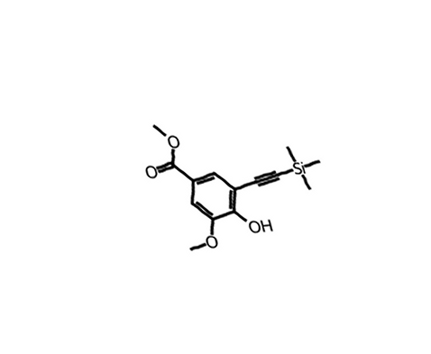 COC(=O)c1cc(C#C[Si](C)(C)C)c(O)c(OC)c1